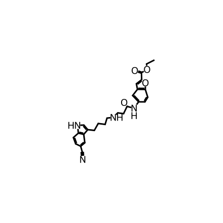 CCOC(=O)c1cc2cc(NC(=O)CCNCCCCc3c[nH]c4ccc(C#N)cc34)ccc2o1